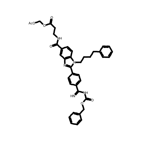 CC(=O)OCOC(=O)CCNC(=O)c1ccc2c(c1)nc(-c1ccc(C(=N)NC(=O)OCc3ccccc3)cc1)n2CCCCc1ccccc1